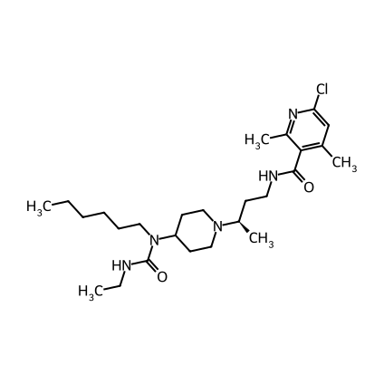 CCCCCCN(C(=O)NCC)C1CCN([C@H](C)CCNC(=O)c2c(C)cc(Cl)nc2C)CC1